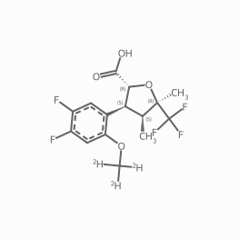 [2H]C([2H])([2H])Oc1cc(F)c(F)cc1[C@H]1[C@H](C(=O)O)O[C@@](C)(C(F)(F)F)[C@H]1C